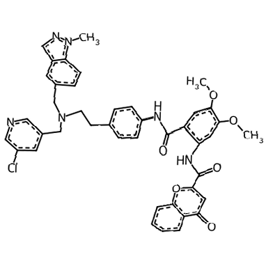 COc1cc(NC(=O)c2cc(=O)c3ccccc3o2)c(C(=O)Nc2ccc(CCN(Cc3cncc(Cl)c3)Cc3ccc4c(cnn4C)c3)cc2)cc1OC